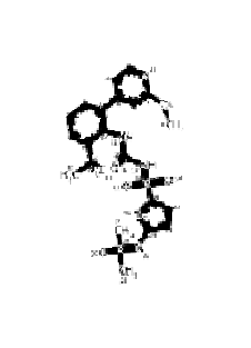 COc1cc(-c2cccc(C(C)C)c2NC(=O)NS(=O)(=O)c2ccc(N=S(C)(C)=O)s2)ccn1